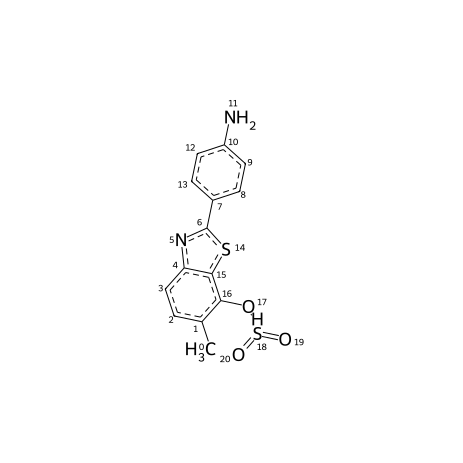 Cc1ccc2nc(-c3ccc(N)cc3)sc2c1O[SH](=O)=O